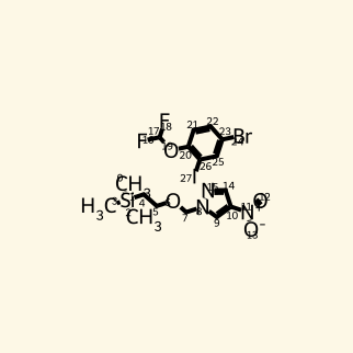 C[Si](C)(C)CCOCn1cc([N+](=O)[O-])cn1.FC(F)Oc1ccc(Br)cc1I